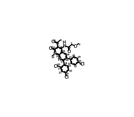 COCC(=O)Nc1c(C(C)=O)c(=O)n(C)c2nc(-c3ccc(Cl)cc3Cl)c(-c3ccc(Cl)cc3)cc12